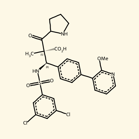 COc1ncccc1-c1ccc([C@@H](NS(=O)(=O)c2cc(Cl)cc(Cl)c2)[C@](C)(C(=O)O)C(=O)C2CCCN2)cc1